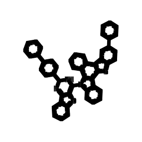 c1ccc(-c2ccc(C3N=c4c(oc5ccccc45)=C(n4c5ccccc5c5c6sc7ccc(-c8ccccc8)cc7c6c6ccccc6c54)N3)cc2)cc1